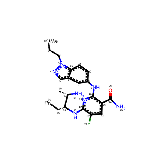 COCCn1ncc2cc(Nc3nc(N[C@H](CC(C)C)[C@H](C)N)c(F)cc3C(N)=O)ccc21